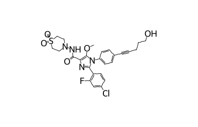 COc1c(C(=O)NN2CCS(=O)(=O)CC2)nc(-c2ccc(Cl)cc2F)n1-c1ccc(C#CCCCO)cc1